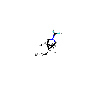 COC[C@@H]1[C@H]2CN(C(F)F)C[C@@H]12